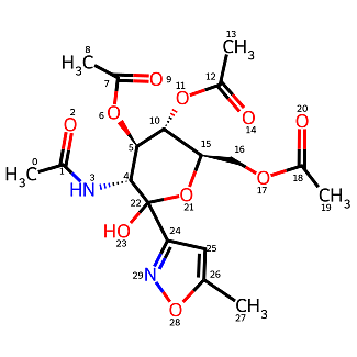 CC(=O)N[C@@H]1[C@@H](OC(C)=O)[C@H](OC(C)=O)[C@@H](COC(C)=O)OC1(O)c1cc(C)on1